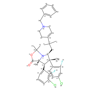 CC(C)(C[C@@H]1N2[C@@H](C(=O)OC2(C)C)[C@H](c2cccc(Cl)c2F)[C@@]1(C#N)c1ccc(Cl)cc1F)C1=CCN(Cc2ccccc2)CC1